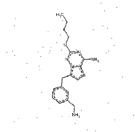 CCCCOc1nc(N)c2ncc(Cc3cccc(CN)c3)n2n1